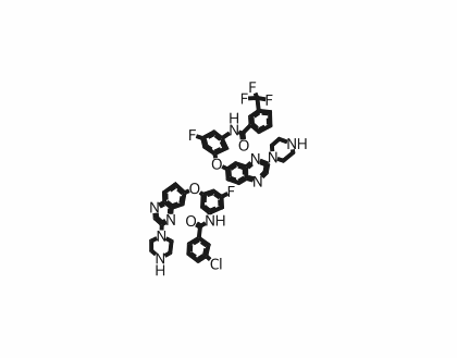 O=C(Nc1cc(F)cc(Oc2ccc3ncc(N4CCNCC4)nc3c2)c1)c1cccc(C(F)(F)F)c1.O=C(Nc1cc(F)cc(Oc2ccc3ncc(N4CCNCC4)nc3c2)c1)c1cccc(Cl)c1